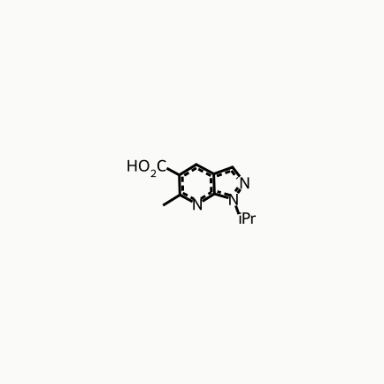 Cc1nc2c(cnn2C(C)C)cc1C(=O)O